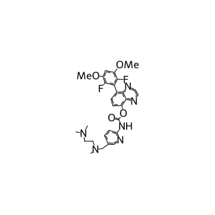 COc1cc(OC)c(F)c(-c2ccc(OC(=O)Nc3ccc(CN(C)CCN(C)C)cn3)c3nccnc23)c1F